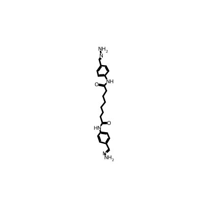 NN=Cc1ccc(NC(=O)CCCCCCC(=O)Nc2ccc(C=NN)cc2)cc1